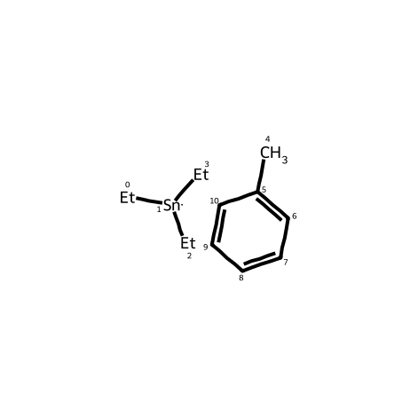 C[CH2][Sn]([CH2]C)[CH2]C.Cc1ccccc1